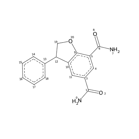 NC(=O)c1cc(C(N)=O)c2c(c1)C(c1ccccc1)CO2